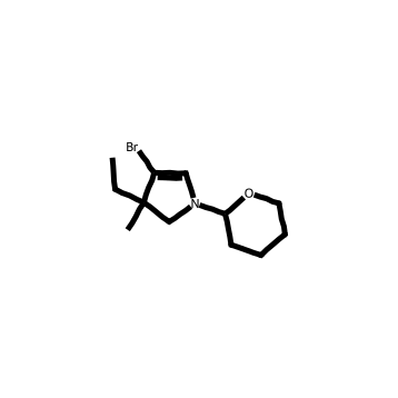 CCC1(C)CN(C2CCCCO2)C=C1Br